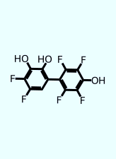 Oc1c(-c2c(F)c(F)c(O)c(F)c2F)cc(F)c(F)c1O